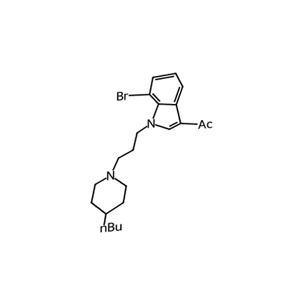 CCCCC1CCN(CCCn2cc(C(C)=O)c3cccc(Br)c32)CC1